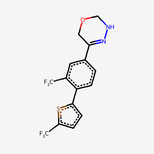 FC(F)(F)c1ccc(-c2ccc(C3=NNCOC3)cc2C(F)(F)F)s1